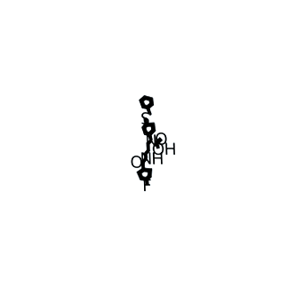 O=C(NCCCN(C(=O)O)c1ccc(SCc2ccccc2)cc1)c1ccc(F)cc1